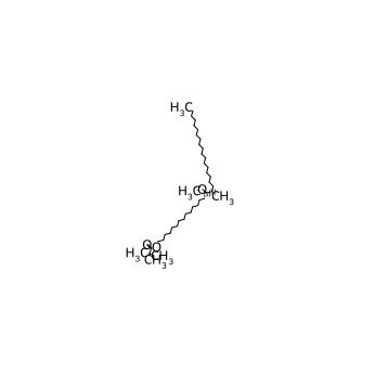 CCCCCCCCCCCCCCCCCC[C@H](C)[C@H](CCCCCCCCCCCCCCOC(=O)C(C)(C)C)OC